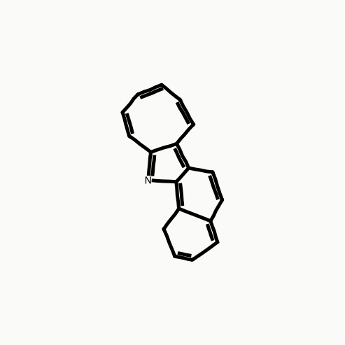 C1=CC=CC2=c3ccc4c(c3N=C2C=C1)CC=CC=4